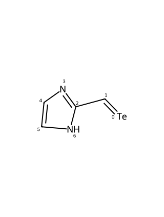 [Te]=Cc1ncc[nH]1